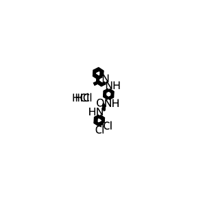 Cc1cc(NC2CCC(NC(=O)CNc3ccc(Cl)c(Cl)c3)CC2)nc2ccccc12.Cl.Cl